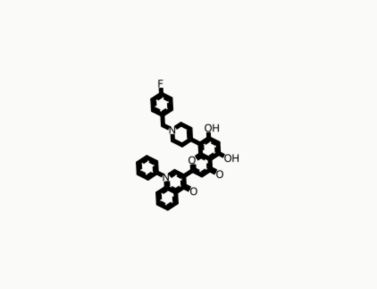 O=c1c(-c2cc(=O)c3c(O)cc(O)c(C4=CCN(Cc5ccc(F)cc5)CC4)c3o2)cn(-c2ccccc2)c2ccccc12